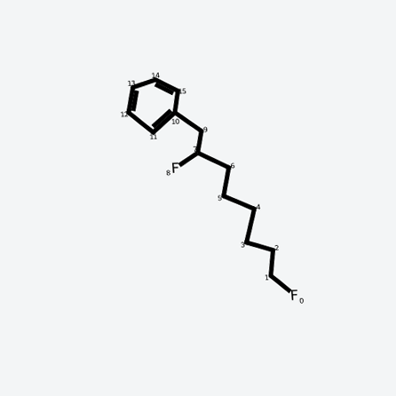 FCCCCCCC(F)Cc1ccccc1